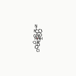 N#Cc1ncc(N2C(=O)[C@@H]3C4C[C@H](CN4C(=O)C4(c5ccc(Cl)cc5)CCCC4)N3C2=O)c2ccccc12